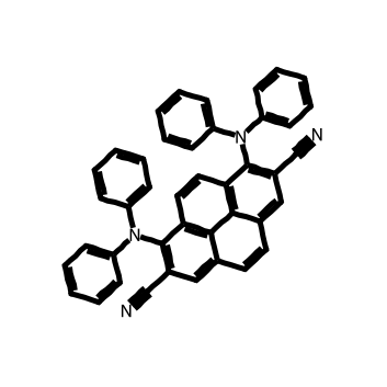 N#Cc1cc2ccc3cc(C#N)c(N(c4ccccc4)c4ccccc4)c4ccc(c1N(c1ccccc1)c1ccccc1)c2c34